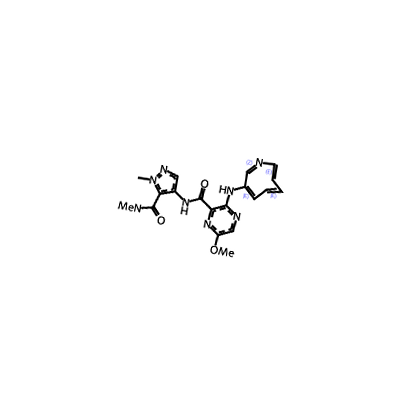 CNC(=O)c1c(NC(=O)c2nc(OC)cnc2NC2=C/C=C/C=C/N=C\2)cnn1C